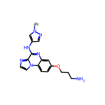 CC(C)n1cc(Nc2nc3cc(OCCCN)ccc3n3ccnc23)cn1